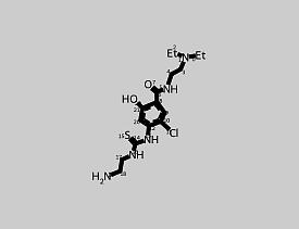 CCN(CC)CCNC(=O)c1cc(Cl)c(NC(=S)NCCN)cc1O